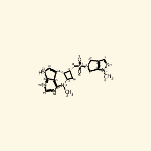 Cn1ncc2c1CN(S(=O)(=O)C[C@H]1C[C@@H](N(C)c3ncnc4[nH]ccc34)C1)C2